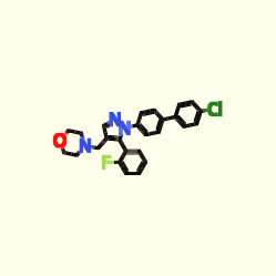 Fc1ccccc1-c1c(CN2CCOCC2)cnn1-c1ccc(-c2ccc(Cl)cc2)cc1